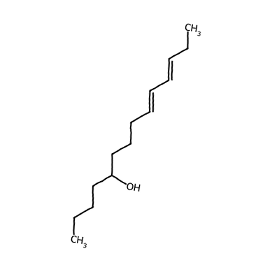 CCC=CC=CCCCC(O)CCCC